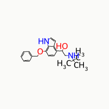 CC(C)(C)NCC(O)c1ccc(OCc2ccccc2)c2[nH]ccc12